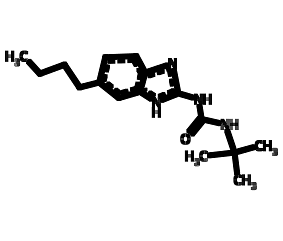 CCCCc1ccc2nc(NC(=O)NC(C)(C)C)[nH]c2c1